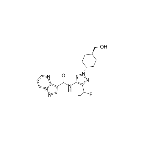 O=C(Nc1cn([C@H]2CC[C@H](CO)CC2)nc1C(F)F)c1cnn2cccnc12